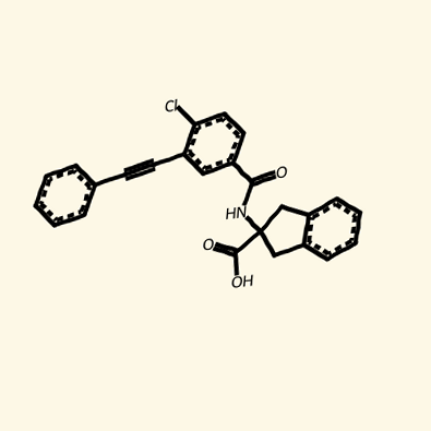 O=C(NC1(C(=O)O)Cc2ccccc2C1)c1ccc(Cl)c(C#Cc2ccccc2)c1